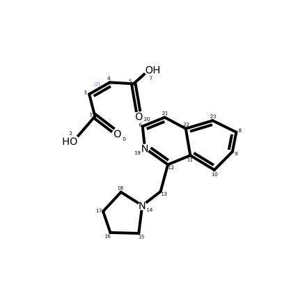 O=C(O)/C=C\C(=O)O.c1ccc2c(CN3CCCC3)nccc2c1